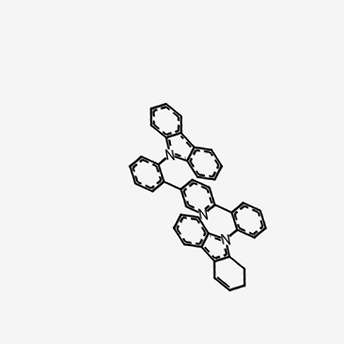 C1=Cc2c(n(-c3ccccc3-c3ccc(-c4ccccc4-n4c5ccccc5c5ccccc54)cn3)c3ccccc23)CC1